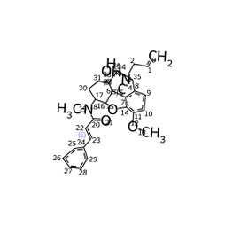 C=CCN1CC[C@]23c4c5ccc(OC)c4OC2C(N(C)C(=O)/C=C/c2ccccc2)CC[C@@]3(O)[C@H]1C5